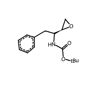 CC(C)(C)OC(=O)NC(Cc1ccccc1)[C@H]1CO1